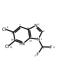 FC(F)n1cnc2cc(Cl)c(Cl)nc21